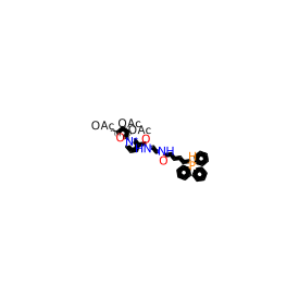 CC(=O)OC[C@H]1O[C@@H]([n+]2cccc(C(=O)NCCNC(=O)CCCCC[PH](c3ccccc3)(c3ccccc3)c3ccccc3)c2)[C@H](OC(C)=O)[C@@H]1OC(C)=O